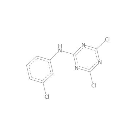 Clc1[c]ccc(Nc2nc(Cl)nc(Cl)n2)c1